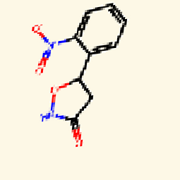 O=C1CC(c2ccccc2[N+](=O)[O-])ON1